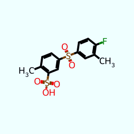 Cc1cc(S(=O)(=O)c2ccc(C)c(S(=O)(=O)O)c2)ccc1F